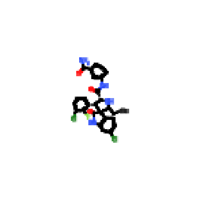 CC(C)(C)C[C@@H]1N[C@@H](C(=O)Nc2cccc(C(N)=O)c2)[C@@H](c2cccc(Cl)c2F)C12C(=O)Nc1cc(Cl)ccc12